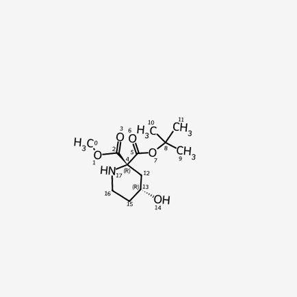 COC(=O)[C@@]1(C(=O)OC(C)(C)C)C[C@H](O)CCN1